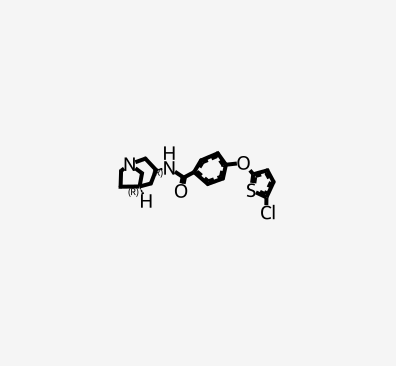 O=C(N[C@@H]1C[C@H]2CCN(C2)C1)c1ccc(Oc2ccc(Cl)s2)cc1